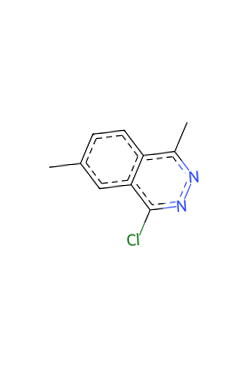 Cc1ccc2c(C)nnc(Cl)c2c1